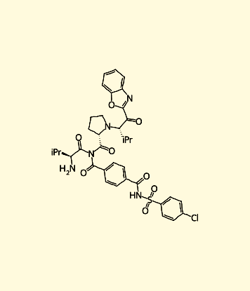 CC(C)[C@H](N)C(=O)N(C(=O)c1ccc(C(=O)NS(=O)(=O)c2ccc(Cl)cc2)cc1)C(=O)[C@@H]1CCCN1[C@H](C(=O)c1nc2ccccc2o1)C(C)C